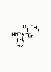 CC(=O)C(Br)c1c[nH]c2ccccc12